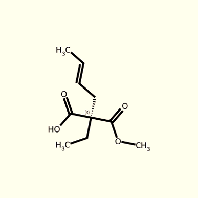 CC=CC[C@](CC)(C(=O)O)C(=O)OC